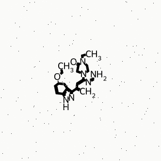 C=C(/C=C(\N=C/N)N1CCN(CC)C(=O)C1)c1n[nH]c2c1C[C@@H](OCC)C=C2